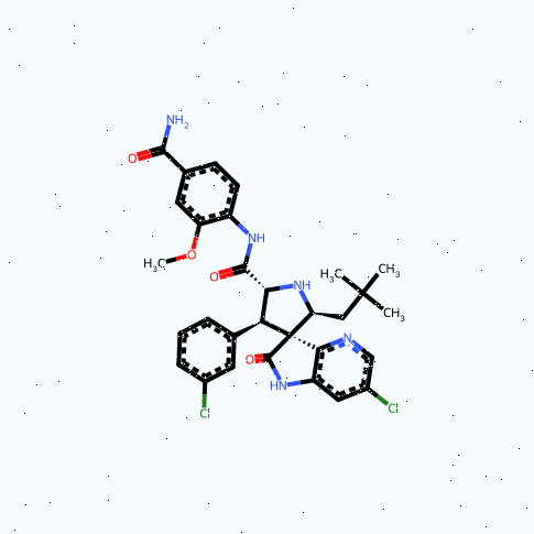 COc1cc(C(N)=O)ccc1NC(=O)[C@@H]1N[C@@H](CC(C)(C)C)[C@@]2(C(=O)Nc3cc(Cl)cnc32)[C@H]1c1cccc(Cl)c1